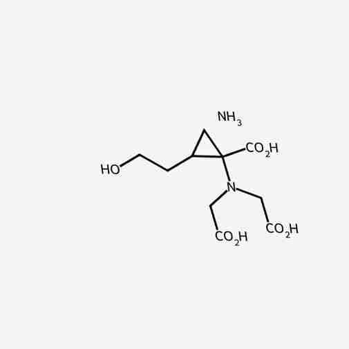 N.O=C(O)CN(CC(=O)O)C1(C(=O)O)CC1CCO